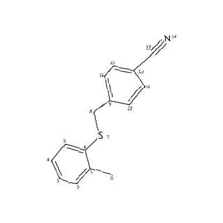 Cc1ccccc1SCc1ccc(C#N)cc1